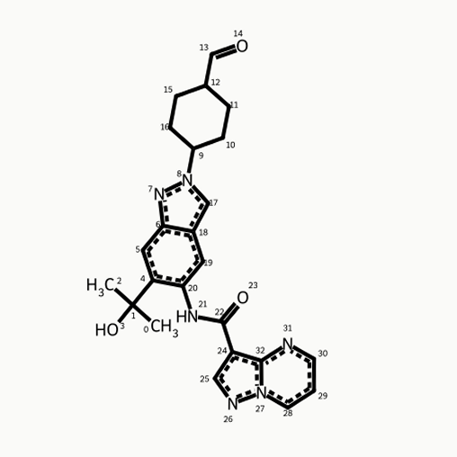 CC(C)(O)c1cc2nn(C3CCC(C=O)CC3)cc2cc1NC(=O)c1cnn2cccnc12